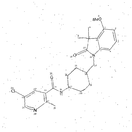 COc1cccc2c1C(C)(C)C(=O)N2CC1CCC(NC(=O)c2cc(Cl)cnc2C)CC1